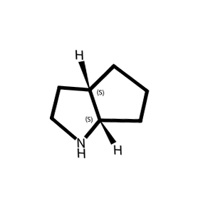 C1C[C@H]2CCN[C@H]2C1